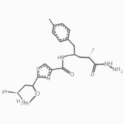 CCCOC(C[C@@H](N)C(C)C)c1nc(C(=O)NC(Cc2ccc(C)cc2)C[C@H](C)C(=O)NN)cs1